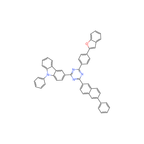 c1ccc(-c2ccc3cc(-c4nc(-c5ccc(-c6cc7ccccc7o6)cc5)nc(-c5ccc6c(c5)c5ccccc5n6-c5ccccc5)n4)ccc3c2)cc1